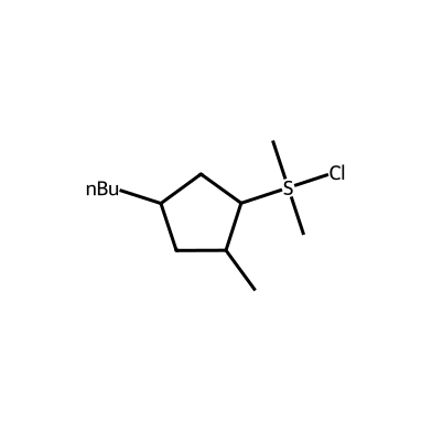 CCCCC1CC(C)C(S(C)(C)Cl)C1